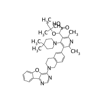 CCC(C)(C)OC(C(=O)O)c1c(C)nc(C)c(-c2ccc3c(c2)CCN(c2ncnc4c2oc2ccccc24)C3)c1N1CCC(C)(C)CC1